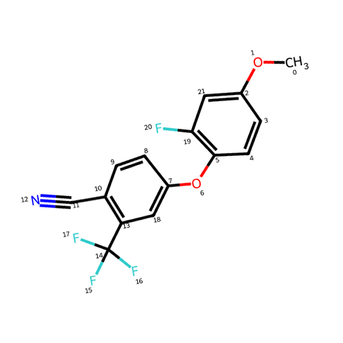 COc1ccc(Oc2ccc(C#N)c(C(F)(F)F)c2)c(F)c1